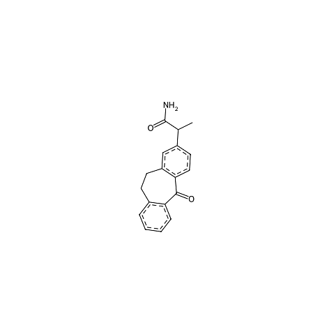 CC(C(N)=O)c1ccc2c(c1)CCc1ccccc1C2=O